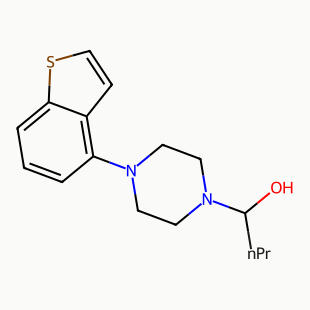 CCCC(O)N1CCN(c2cccc3sccc23)CC1